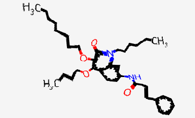 CCCCCCCCOc1c(OCCCC)c2ccc(NC(=O)C=Cc3ccccc3)cc2n(CCCCCC)c1=O